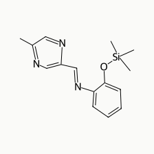 Cc1cnc(C=Nc2ccccc2O[Si](C)(C)C)cn1